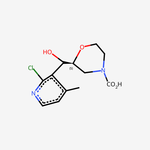 Cc1ccnc(Cl)c1C(O)[C@@H]1CN(C(=O)O)CCO1